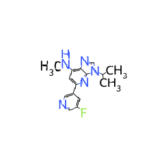 CNc1cc(-c2cncc(F)c2)nc2c1ncn2C(C)C